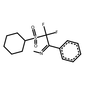 C/N=C(/c1ccccc1)C(F)(F)S(=O)(=O)C1CCCCC1